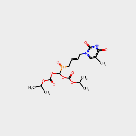 Cc1cn(C/C=C/C[PH](=O)C(OC(=O)OC(C)C)OC(=O)OC(C)C)c(=O)[nH]c1=O